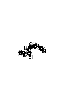 O=C(Nc1cc(Cl)ccc1C(=O)N1C[C@@H](O)[C@H](N2CCN(Cc3ccc(Cl)cc3)CC2)C1)c1ccccc1